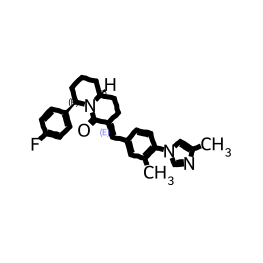 Cc1cn(-c2ccc(/C=C3\CC[C@@H]4CCC[C@H](c5ccc(F)cc5)N4C3=O)cc2C)cn1